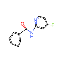 O=C(Nc1cc(F)ccn1)c1ccccc1